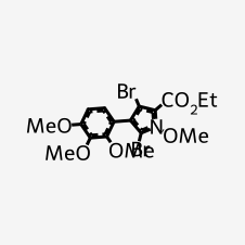 CCOC(=O)c1c(Br)c(-c2ccc(OC)c(OC)c2OC)c(Br)n1OC